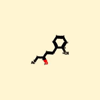 CC(=O)CC(=O)C=Cc1ccccc1C#N